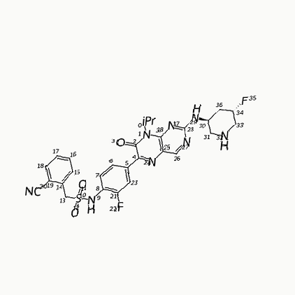 CC(C)n1c(=O)c(-c2ccc(NS(=O)(=O)Cc3ccccc3C#N)c(F)c2)nc2cnc(N[C@@H]3CNC[C@@H](F)C3)nc21